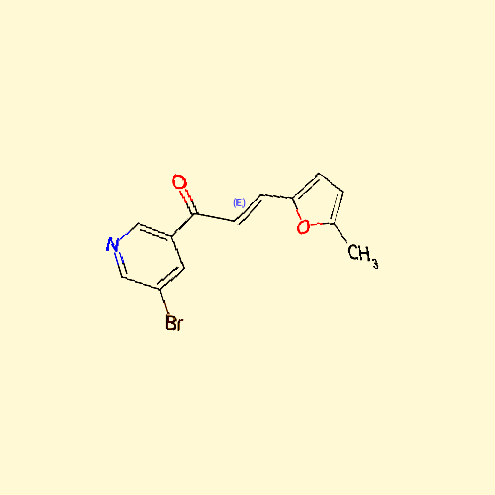 Cc1ccc(/C=C/C(=O)c2cncc(Br)c2)o1